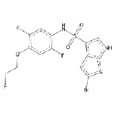 O=S(=O)(Nc1cc(F)c(OCCF)cc1F)c1c[nH]c2sc(Br)cc12